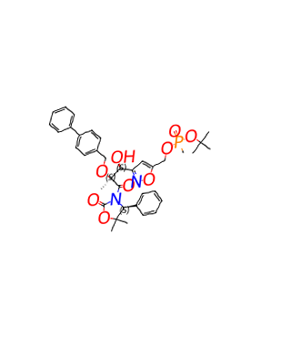 CC(C)(C)OP(C)(=O)OCc1cc([C@H](O)[C@](C)(OCc2ccc(-c3ccccc3)cc2)C(=O)N2C(=O)OC(C)(C)[C@@H]2c2ccccc2)no1